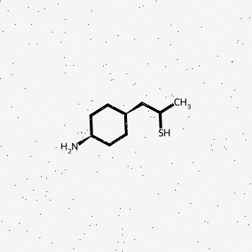 CC(S)C[C@H]1CC[C@@H](N)CC1